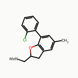 CNCC1Cc2cc(C)cc(-c3ccccc3Cl)c2O1